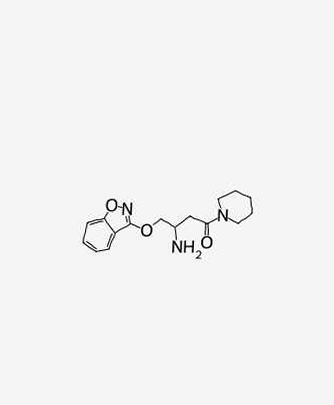 NC(COc1noc2ccccc12)CC(=O)N1CCCCC1